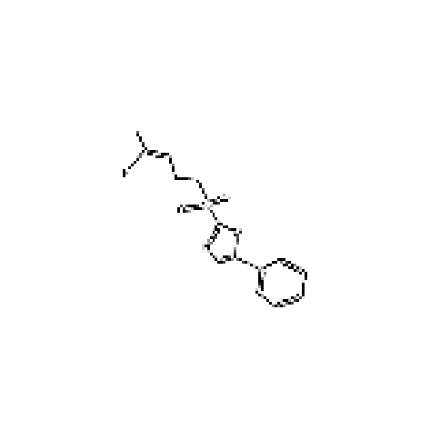 O=S(=O)(CCC=C(F)F)c1ncc(-c2ccccc2)o1